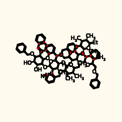 CCC1O[C@H](OC2[C@@H](OCC3O[C@H](O[C@@H]4C(COCc5ccccc5)O[C@H](OC5C(OCc6ccccc6)C(OCc6ccccc6)C(OCc6ccccc6)[C@H](O)[C@H]5O)C(N=[N+]=[N-])[C@H]4C)C(OCc4ccccc4)[C@@H](C)[C@@H]3C)OC(COCc3ccccc3)[C@@H](C)[C@@H]2C)C(O[C@H]2OC(COCc3ccccc3)[C@@H](C)[C@H](C)C2OCc2ccccc2)[C@@H](C)[C@@H]1C